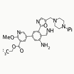 COc1ncc(-c2cc(N)c(C=N)c(-c3ncc(CN4CCN(C(C)C)CC4)o3)c2)cc1C(=O)OCC(F)(F)F